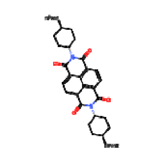 CCCCC[C@H]1CC[C@H](N2C(=O)c3ccc4c5c(ccc(c35)C2=O)C(=O)N([C@H]2CC[C@H](CCCCC)CC2)C4=O)CC1